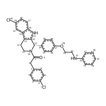 O=C(Cc1ccc(Cl)cc1)N1CCc2c([nH]c3ccc(Cl)cc23)[C@@H]1c1ccc(OCCNc2cccnc2)cc1